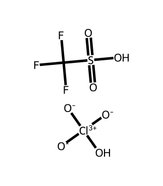 O=S(=O)(O)C(F)(F)F.[O-][Cl+3]([O-])([O-])O